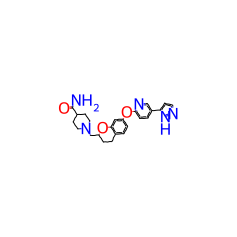 NC(=O)C1CCN(CC2CCc3ccc(Oc4ccc(-c5ccn[nH]5)cn4)cc3O2)CC1